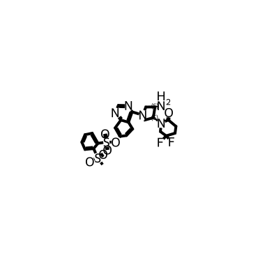 CS(=O)(=O)c1ccccc1S(=O)(=O)Oc1ccc2c(N3C[C@H](N)[C@@H](N4CC(F)(F)CCC4=O)C3)ncnc2c1